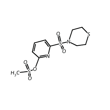 CS(=O)(=O)Oc1cccc(S(=O)(=O)N2CCSCC2)n1